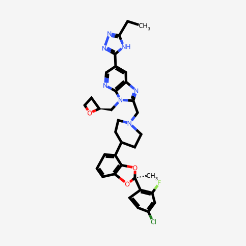 CCc1nnc(-c2cnc3c(c2)nc(CN2CCC(c4cccc5c4O[C@@](C)(c4ccc(Cl)cc4F)O5)CC2)n3C[C@@H]2CCO2)[nH]1